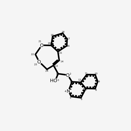 OC(Oc1nccc2ccccc12)/C1=C/c2ccccc2OCOC1